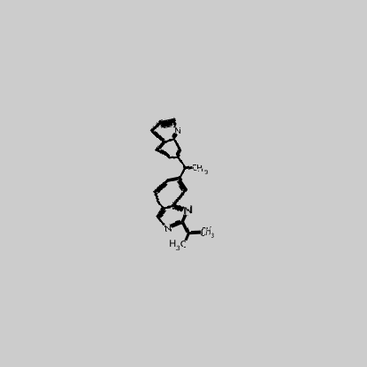 CC(C)c1ncc2ccc(C(C)c3ccc4cccnc4c3)cc2n1